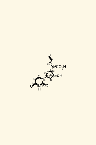 C=COC(C(=O)O)[C@H]1O[C@@H](n2ccc(=O)[nH]c2=O)C[C@@H]1O